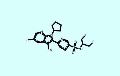 N#Cc1c(-c2ccc(S(=O)(=O)NC(CF)CF)cn2)n(C2CCCC2)c2ncc(Cl)cc12